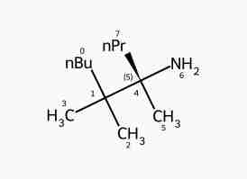 CCCCC(C)(C)[C@@](C)(N)CCC